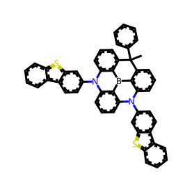 CC1(c2ccccc2)c2cccc3c2B2c4c(cccc4N(c4ccc5c(c4)sc4ccccc45)c4cccc1c42)N3c1ccc2c(c1)sc1ccccc12